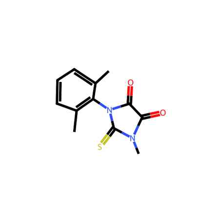 Cc1cccc(C)c1N1C(=O)C(=O)N(C)C1=S